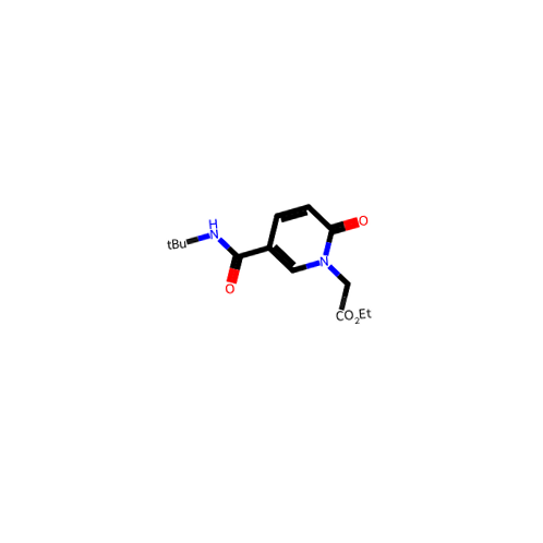 CCOC(=O)Cn1cc(C(=O)NC(C)(C)C)ccc1=O